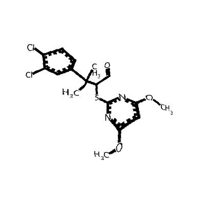 COc1cc(OC)nc(SC(C=O)C(C)(C)c2ccc(Cl)c(Cl)c2)n1